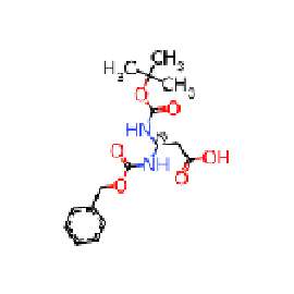 CC(C)(C)OC(=O)N[C@@H](CC(=O)O)NC(=O)OCc1ccccc1